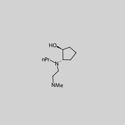 CCCN(CCNC)[C@H]1CCC[C@@H]1O